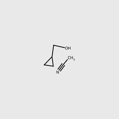 CC#N.OCC1CC1